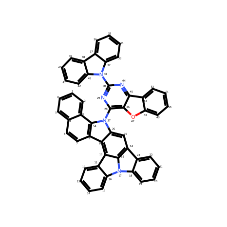 c1ccc2c(c1)ccc1c3c4c5ccccc5n5c6ccccc6c(cc3n(-c3nc(-n6c7ccccc7c7ccccc76)nc6c3oc3ccccc36)c21)c45